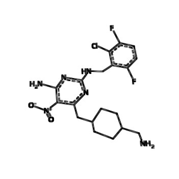 NCC1CCC(Cc2nc(NCc3c(F)ccc(F)c3Cl)nc(N)c2[N+](=O)[O-])CC1